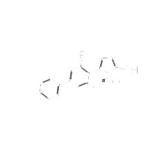 CC1=CC=C(c2c(F)cc(-c3ccc(C)cc3)cc2F)S1(=O)=O